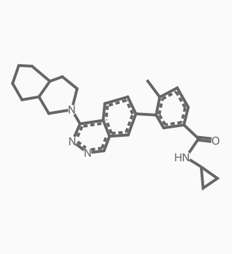 Cc1ccc(C(=O)NC2CC2)cc1-c1ccc2c(N3CCC4CCCCC4C3)nncc2c1